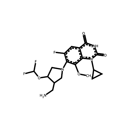 COc1c(N2CC(CN)C(OC(F)F)C2)c(F)cc2c(=O)[nH]c(=O)n(C3CC3)c12